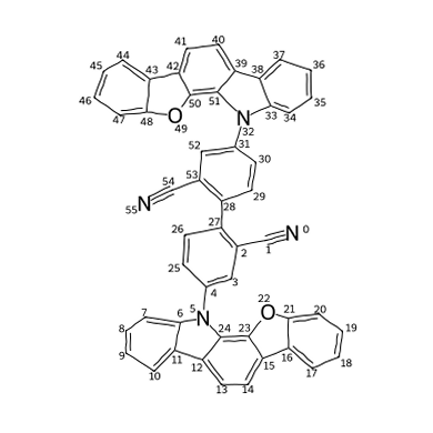 N#Cc1cc(-n2c3ccccc3c3ccc4c5ccccc5oc4c32)ccc1-c1ccc(-n2c3ccccc3c3ccc4c5ccccc5oc4c32)cc1C#N